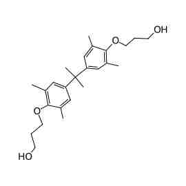 Cc1cc(C(C)(C)c2cc(C)c(OCCCO)c(C)c2)cc(C)c1OCCCO